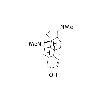 CNC1=CC[C@H]2[C@@H]3[C@@H](NC)CC4C[C@@H](O)C=C[C@]4(C)[C@H]3CC[C@]12C